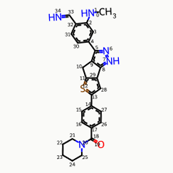 CNc1cc(-c2n[nH]c3c2Cc2sc(-c4ccc(C(=O)N5CCCCC5)cc4)cc2-3)ccc1C=N